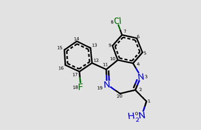 NCC1=Nc2ccc(Cl)cc2C(c2ccccc2F)=NC1